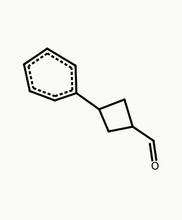 O=CC1CC(c2ccccc2)C1